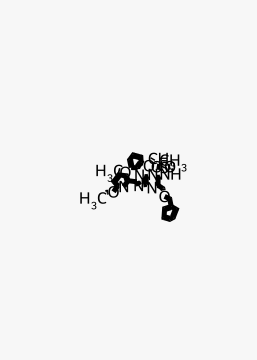 CCOc1cccc(-c2nc3nc(COCc4ccccc4)c(NS(C)(=O)=O)nc3n2-c2c(OC)cccc2OC)n1